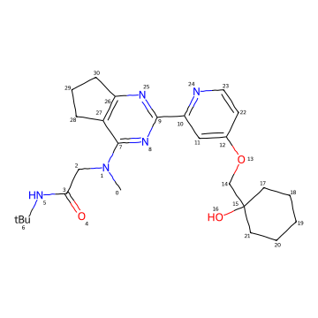 CN(CC(=O)NC(C)(C)C)c1nc(-c2cc(OCC3(O)CCCCC3)ccn2)nc2c1CCC2